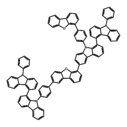 c1ccc(-n2c3ccccc3c3c(-c4cccc5c6ccccc6n(-c6ccc(-c7ccc8oc9c(-c%10ccc%11c(c%10)c%10cccc(-c%12cccc%13c%12c%12ccccc%12n%13-c%12ccccc%12)c%10n%11-c%10ccc(-c%11cccc%12c%11oc%11ccccc%11%12)cc%10)cccc9c8c7)cc6)c45)cccc32)cc1